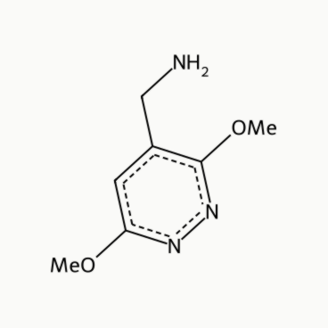 COc1cc(CN)c(OC)nn1